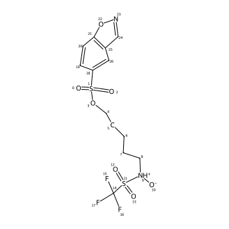 O=S(=O)(OCCCCC[NH+]([O-])S(=O)(=O)C(F)(F)F)c1ccc2oncc2c1